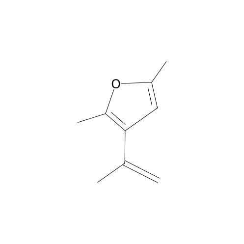 C=C(C)c1cc(C)oc1C